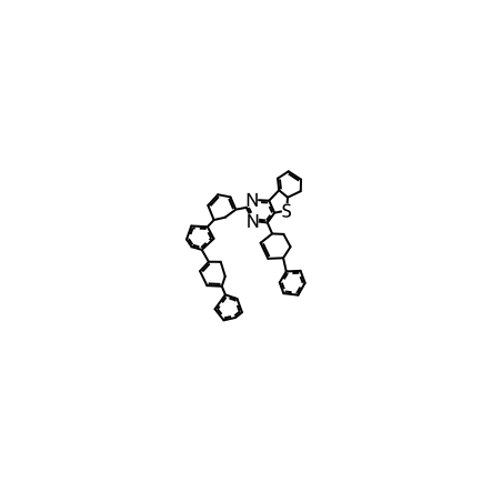 C1=CCC2Sc3c(nc(C4=CC=CC(c5cccc(C6=CC=C(c7ccccc7)CC6)c5)C4)nc3C3C=CC(c4ccccc4)CC3)C2=C1